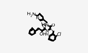 Nc1ccc(CNC(=O)[C@H](Cc2ccccc2Cl)NC(=O)C(O)Cc2ccccc2)cn1